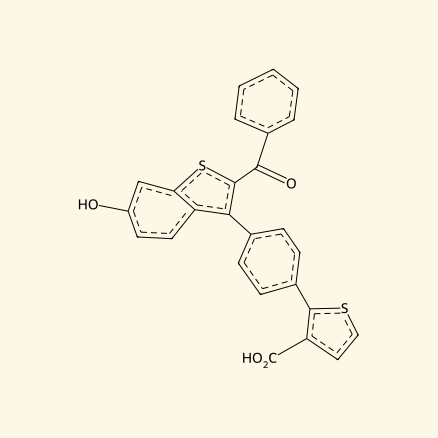 O=C(O)c1ccsc1-c1ccc(-c2c(C(=O)c3ccccc3)sc3cc(O)ccc23)cc1